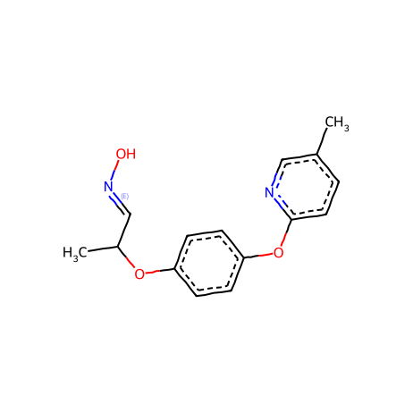 Cc1ccc(Oc2ccc(OC(C)/C=N/O)cc2)nc1